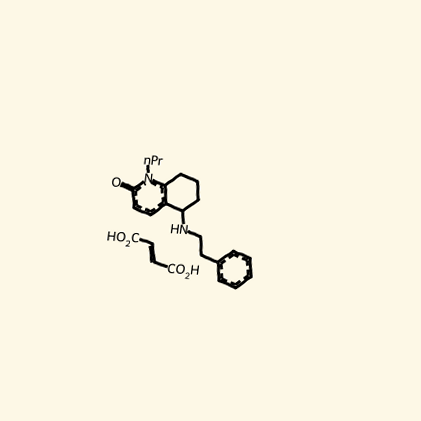 CCCn1c2c(ccc1=O)C(NCCc1ccccc1)CCC2.O=C(O)C=CC(=O)O